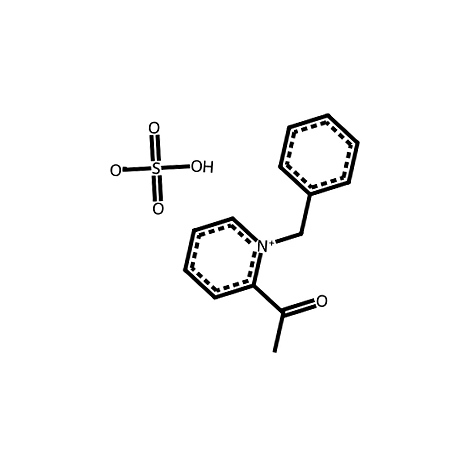 CC(=O)c1cccc[n+]1Cc1ccccc1.O=S(=O)([O-])O